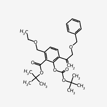 C=C(COCc1ccccc1)c1ccc(COCC)c(C(=O)OC(C)(C)C)c1OC(=O)OC(C)(C)C